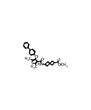 COC(=O)C1CC2(CC(NC(=O)c3c(C)sc(C)c3Oc3ccc(-c4ccccc4)cc3)C2)C1